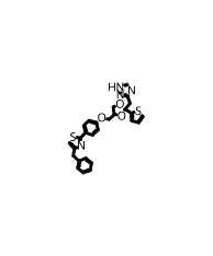 c1ccc(Cc2csc(-c3ccc(OCC4COC(Cc5nc[nH]n5)(c5cccs5)O4)cc3)n2)cc1